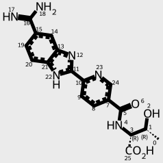 C[C@@H](O)[C@@H](NC(=O)c1ccc(-c2nc3cc(C(=N)N)ccc3[nH]2)nc1)C(=O)O